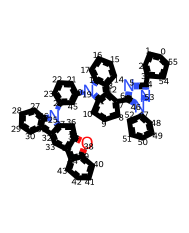 c1ccc(-c2nc(-c3cccc4c3c3ccccc3n4-c3cccc(-n4c5ccccc5c5cc6c(cc54)oc4ccccc46)c3)n(-c3ccccc3)n2)cc1